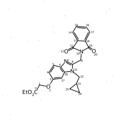 CCOC(=O)COc1ccc2nc(CN3C(=O)c4ccccc4C3=O)n(CC3CC3)c2c1